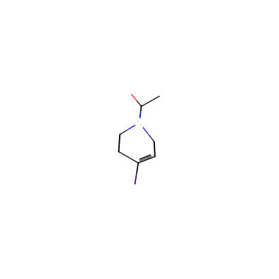 CC(O)N1CC=C(I)CC1